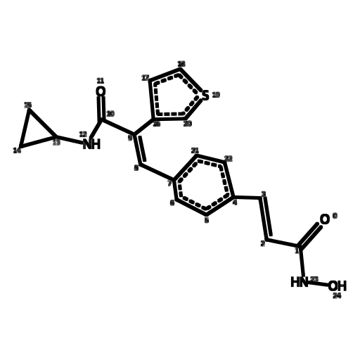 O=C(/C=C/c1ccc(/C=C(/C(=O)NC2CC2)c2ccsc2)cc1)NO